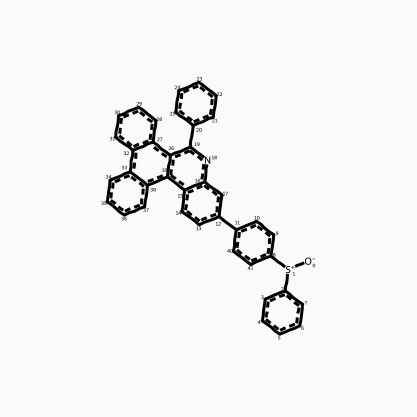 [O-][S+](c1ccccc1)c1ccc(-c2ccc3c(c2)nc(-c2ccccc2)c2c4ccccc4c4ccccc4c32)cc1